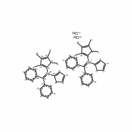 CC1=C(C)C(C)[C]([Hf]([C]2=CC=CC2)=[C](c2ccccc2)c2ccccc2)=C1C.CC1=C(C)C(C)[C]([Hf]([C]2=CC=CC2)=[C](c2ccccc2)c2ccccc2)=C1C.Cl.Cl